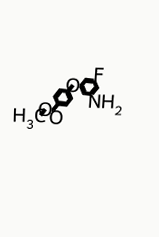 COC(=O)c1ccc(Oc2cc(N)cc(F)c2)cc1